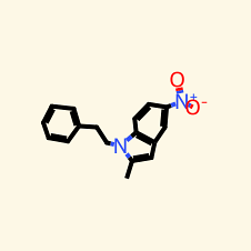 Cc1cc2cc([N+](=O)[O-])ccc2n1CCc1ccccc1